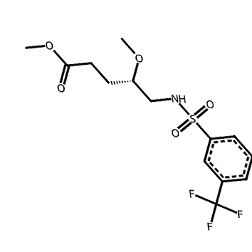 COC(=O)CC[C@@H](CNS(=O)(=O)c1cccc(C(F)(F)F)c1)OC